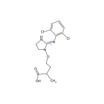 CC(CCON1CCN/C1=N\c1c(Cl)cccc1Cl)C(=O)O